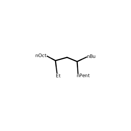 CCCCCCCCC(CC)CC(CCCC)CCCCC